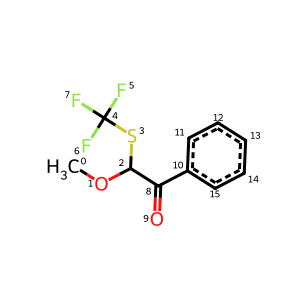 COC(SC(F)(F)F)C(=O)c1ccccc1